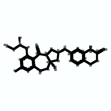 Cc1cc2c(c(O[C@@H](C)CF)c1)C(=O)N1C[C@@H](Oc3ccc4c(c3)NC(=O)CC4)C[C@@H]1CO2